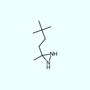 CC(C)(C)CCC1(C)NN1